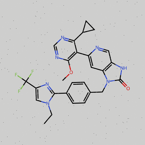 CCn1cc(C(F)(F)F)nc1-c1ccc(Cn2c(=O)[nH]c3cnc(-c4c(OC)ncnc4C4CC4)cc32)cc1